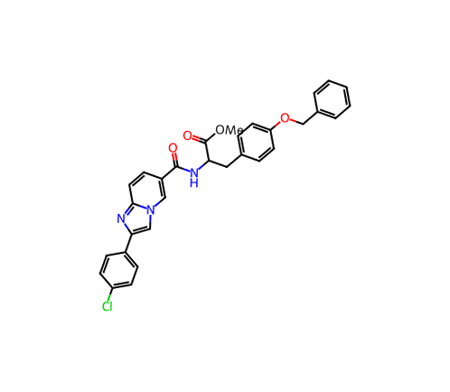 COC(=O)C(Cc1ccc(OCc2ccccc2)cc1)NC(=O)c1ccc2nc(-c3ccc(Cl)cc3)cn2c1